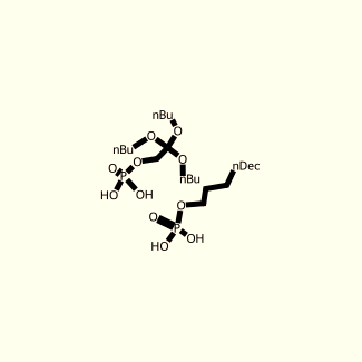 CCCCCCCCCCCCCOP(=O)(O)O.CCCCOC(COP(=O)(O)O)(OCCCC)OCCCC